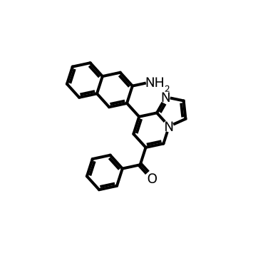 Nc1cc2ccccc2cc1-c1cc(C(=O)c2ccccc2)cn2ccnc12